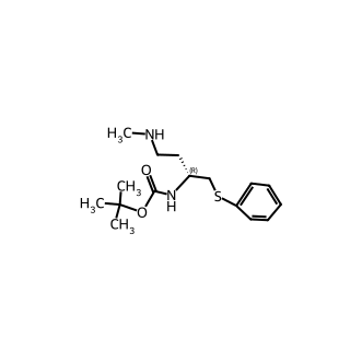 CNCC[C@H](CSc1ccccc1)NC(=O)OC(C)(C)C